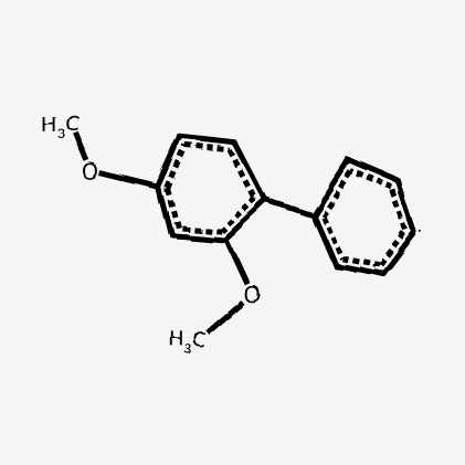 COc1ccc(-c2cc[c]cc2)c(OC)c1